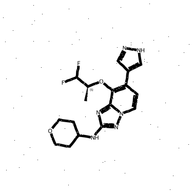 C[C@H](Oc1c(-c2cn[nH]c2)ccn2nc(NC3CCOCC3)nc12)C(F)F